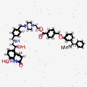 CNC(c1ccccc1)c1cccc(OCc2ccc(C(=O)OCCN3CCN(Cc4ccc(CNCC(O)c5ccc(O)c6[nH]c(=O)ccc56)cc4)CC3)cc2)c1